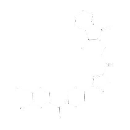 O=C(c1ccc(C(F)(F)F)c(Cl)c1)N1CCC(c2cc(NCCN3C(=O)c4ccccc4C3=O)on2)CC1